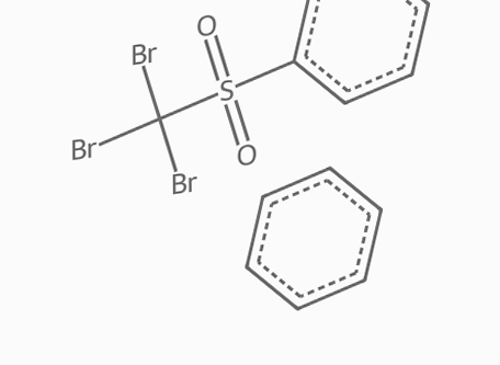 O=S(=O)(c1ccccc1)C(Br)(Br)Br.c1ccccc1